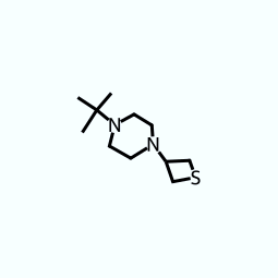 CC(C)(C)N1CCN(C2CSC2)CC1